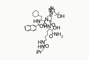 CC(C)CNC(=O)NCCCCC(NC(=O)[C@@H]1C[C@H](n2nncc2C(C)(C)O)CN1C(=O)C(CC1CCCCC1)NC(=O)c1ccc2ccccc2c1)C(O)C(N)=O